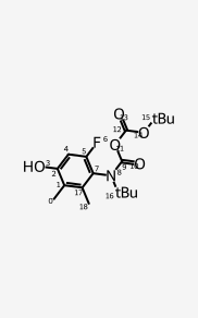 Cc1c(O)cc(F)c(N(C(=O)OC(=O)OC(C)(C)C)C(C)(C)C)c1C